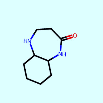 O=C1CCNC2CCCCC2N1